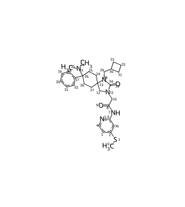 CSc1ccnc(NC(=O)CN2CC3(CCC(c4ccccc4)(N(C)C)CC3)N(CC3CCC3)C2=O)c1